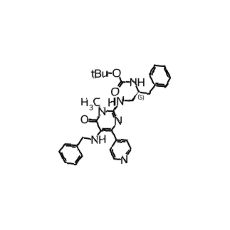 Cn1c(NC[C@H](Cc2ccccc2)NC(=O)OC(C)(C)C)nc(-c2ccncc2)c(NCc2ccccc2)c1=O